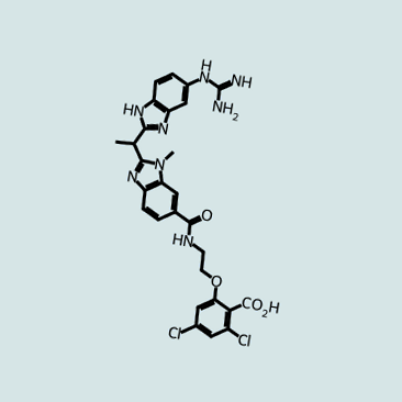 CC(c1nc2cc(NC(=N)N)ccc2[nH]1)c1nc2ccc(C(=O)NCCOc3cc(Cl)cc(Cl)c3C(=O)O)cc2n1C